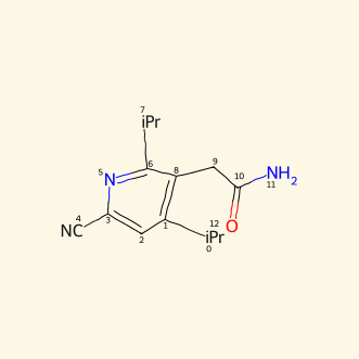 CC(C)c1cc(C#N)nc(C(C)C)c1CC(N)=O